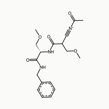 COCC(C#[N+]C(C)=O)C(=O)N[C@@H](COC)C(=O)NCc1ccccc1